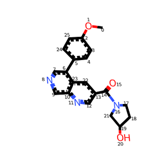 COc1ccc(-c2cncc3ncc(C(=O)N4CCC(O)C4)cc23)cc1